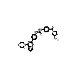 C[C@@H]1COCCN1c1nc(-c2ccc(NC(=O)Nc3ccc(C(=O)N4CC[C@@H](N)C4)cc3)cc2)nn2cccc12